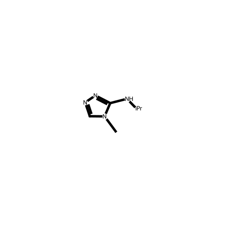 CC(C)Nc1nncn1C